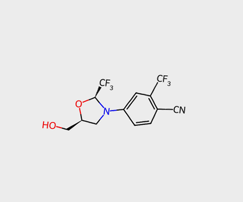 N#Cc1ccc(N2C[C@@H](CO)O[C@H]2C(F)(F)F)cc1C(F)(F)F